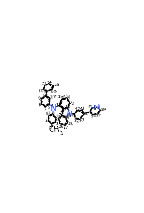 Cc1ccc(N(c2cccc(-c3ccccc3)c2)c2cccc3c2c2ccccc2n3-c2ccc(-c3cccnc3)cc2)cc1